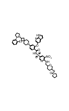 CCc1ccccc1[C@H]1CCCN1C1CC2(CCN(c3ccc(C(=O)NS(=O)(=O)c4cnc(NCC5CCC(N=S6(=O)CCCC6)CO5)c([N+](=O)[O-])c4)c(Oc4cnc5[nH]ccc5c4)c3)CC2)C1